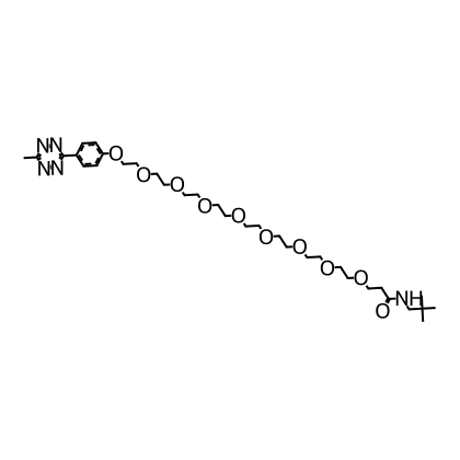 Cc1nnc(-c2ccc(OCCOCCOCCOCCOCCOCCOCCOCCOCCC(=O)NCC(C)(C)C)cc2)nn1